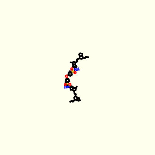 C/C=C/C1CC(/C=C/C2CC(C)C3C=C(NS(=O)(=O)c4ccc(Oc5ccc(S(=O)(=O)NC6=CC7C(C)CC(/C=C/C8CC(/C=C/C)C9CCCC89)C7C6)cc5)cc4)CC23)C2C=CCC12